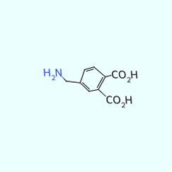 NCc1ccc(C(=O)O)c(C(=O)O)c1